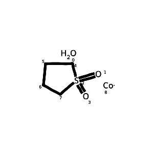 O.O=S1(=O)CCCC1.[Co]